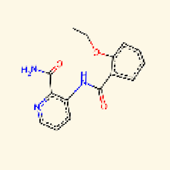 CCOc1ccccc1C(=O)Nc1cccnc1C(N)=O